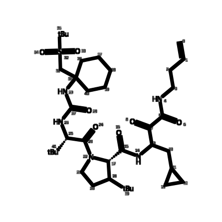 C=CCCNC(=O)C(=O)C(CC1CC1)NC(=O)[C@@H]1C(C(C)(C)C)CCN1C(=O)[C@@H](NC(=O)NC1(CS(=O)(=O)C(C)(C)C)CCCCC1)C(C)(C)C